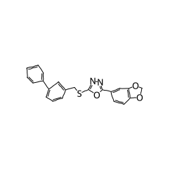 c1ccc(-c2cccc(CSc3nnc(-c4ccc5c(c4)OCO5)o3)c2)cc1